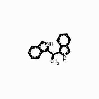 C=C(c1[nH]cc2ccccc12)c1[nH]cc2ccccc12